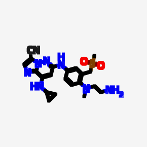 CN(CCN)c1ccc(Nc2cc(NC3CC3)c3ncc(C#N)n3n2)cc1CS(C)(=O)=O